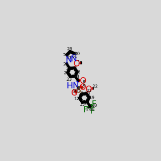 COc1cc(C(=O)NS(=O)(=O)c2ccc(C(F)(F)F)cc2OC)ccc1Cn1cccn1